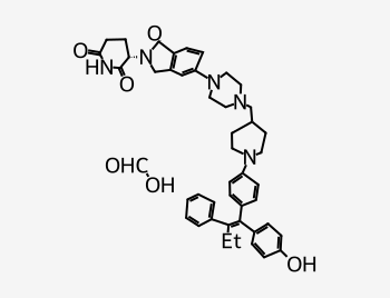 CCC(=C(c1ccc(O)cc1)c1ccc(N2CCC(CN3CCN(c4ccc5c(c4)CN([C@H]4CCC(=O)NC4=O)C5=O)CC3)CC2)cc1)c1ccccc1.O=CO